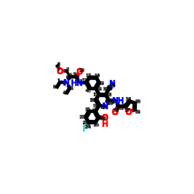 CCN(CC)[C@@H](COC)C(=O)Nc1cccc(-c2cc(-c3ccc(F)cc3O)nc(NC(=O)c3ccco3)c2C#N)c1